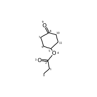 CCC(=O)OC1CCC(=O)CC1